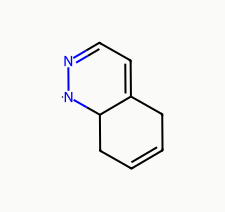 C1=CCC2[N]N=CC=C2C1